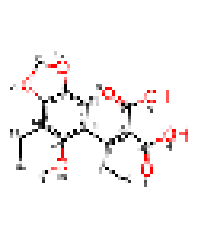 CCC(=C(C(=O)O)C(=O)O)c1cc2c(c(CC)c1OC)OCO2